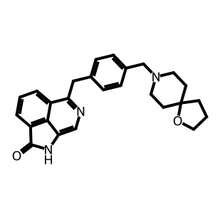 O=C1Nc2cnc(Cc3ccc(CN4CCC5(CCCO5)CC4)cc3)c3cccc1c23